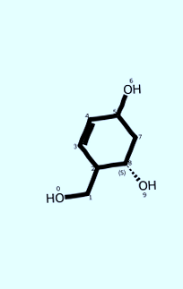 OCC1C=CC(O)C[C@@H]1O